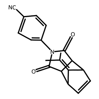 CC(C)=C1C2C=CC1C1C(=O)N(c3ccc(C#N)cc3)C(=O)C21